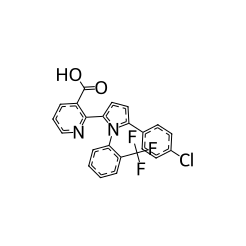 O=C(O)c1cccnc1-c1ccc(-c2ccc(Cl)cc2)n1-c1ccccc1C(F)(F)F